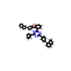 c1ccc(-c2nc(-c3ccc(-c4cccc5ccccc45)cc3)nc(-c3cccc4oc5cc(-c6ccc7ccccc7c6)ccc5c34)n2)cc1